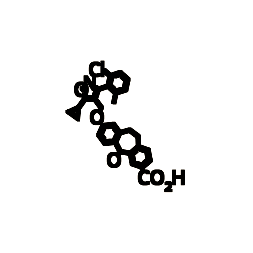 Cc1cccc(Cl)c1-c1noc(C2CC2)c1COc1ccc2c(c1)CCc1ccc(C(=O)O)cc1C2=O